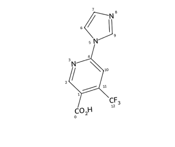 O=C(O)c1cnc(-n2ccnc2)cc1C(F)(F)F